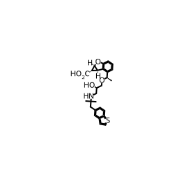 C[C@@H](OC[C@H](O)CNC(C)(C)Cc1ccc2sccc2c1)c1cccc2c1[C@@H]1[C@H](O2)[C@H]1C(=O)O